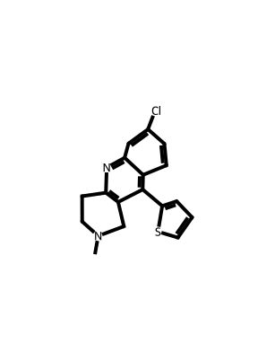 CN1CCc2nc3cc(Cl)ccc3c(-c3cccs3)c2C1